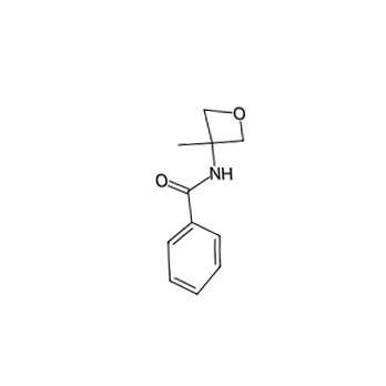 CC1(NC(=O)c2ccccc2)COC1